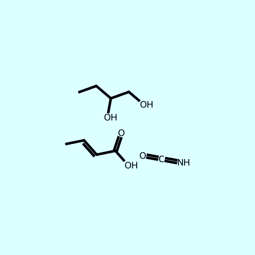 CC=CC(=O)O.CCC(O)CO.N=C=O